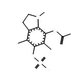 CCCCCCCCN1CCc2c(C)c(NS(N)(=O)=O)c(C)c(NC(=O)C(C)(C)C)c21.Cl